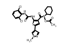 CC(=O)ON(C(=O)c1cc(-c2cnn(C)c2)sc1NC(=O)Nc1c(Cl)cccc1Cl)C1CCCCC1